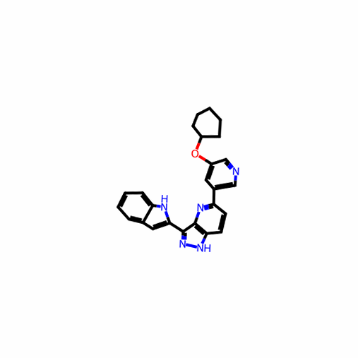 c1ccc2[nH]c(-c3n[nH]c4ccc(-c5cncc(OC6CCCCC6)c5)nc34)cc2c1